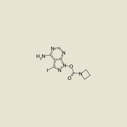 Nc1ncnc2c1c(I)nn2OC(=O)N1CCC1